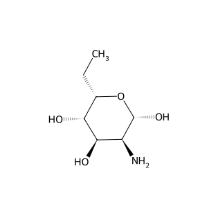 CC[C@@H]1O[C@H](O)[C@@H](N)[C@@H](O)[C@@H]1O